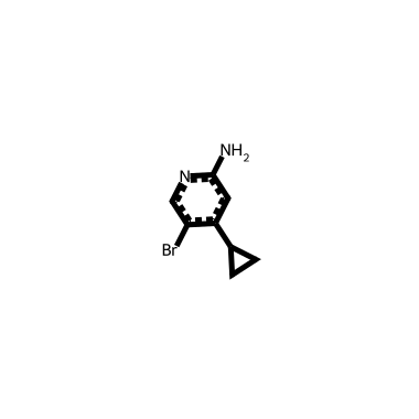 Nc1cc(C2CC2)c(Br)cn1